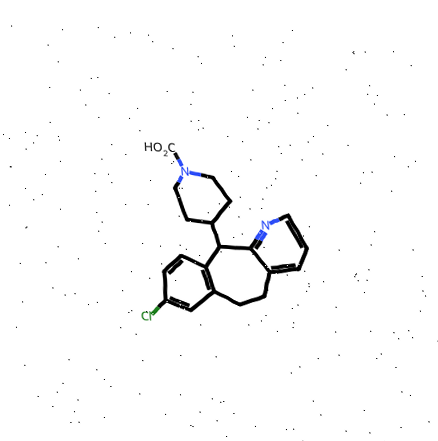 O=C(O)N1CCC(C2c3ccc(Cl)cc3CCc3cccnc32)CC1